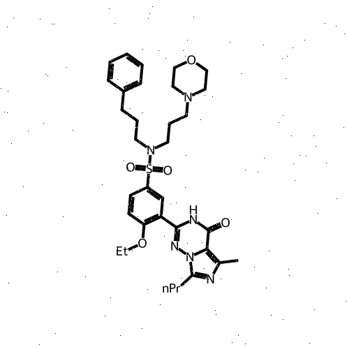 CCCc1nc(C)c2c(=O)[nH]c(-c3cc(S(=O)(=O)N(CCCc4ccccc4)CCCN4CCOCC4)ccc3OCC)nn12